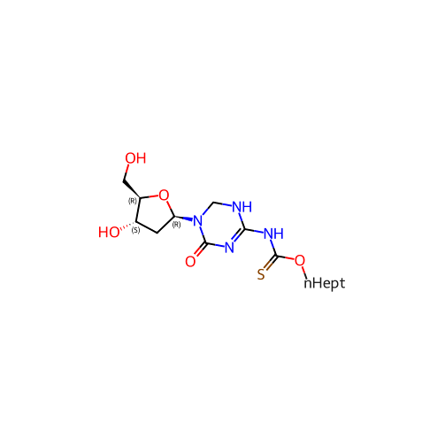 CCCCCCCOC(=S)NC1=NC(=O)N([C@H]2C[C@H](O)[C@@H](CO)O2)CN1